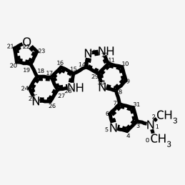 CN(C)c1cncc(-c2ccc3[nH]nc(-c4cc5c(-c6ccoc6)cncc5[nH]4)c3n2)c1